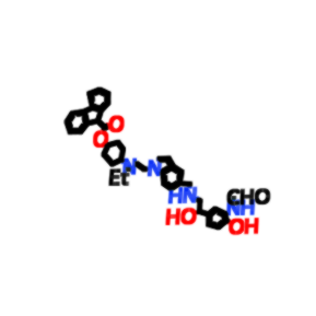 CCN(CCn1ccc2cc(CNC[C@H](O)c3ccc(O)c(NC=O)c3)ccc21)C1CCC(OC(=O)C2c3ccccc3-c3ccccc32)CC1